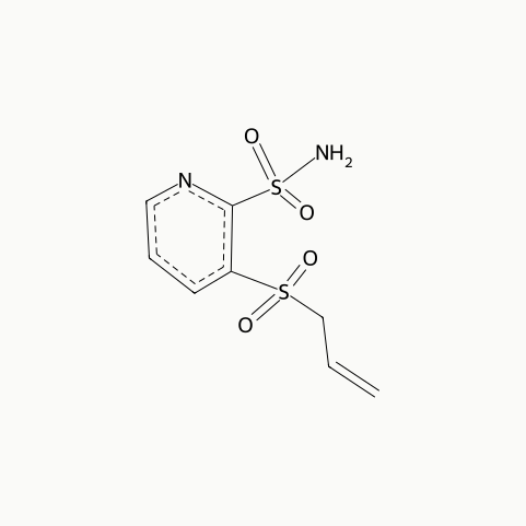 C=CCS(=O)(=O)c1cccnc1S(N)(=O)=O